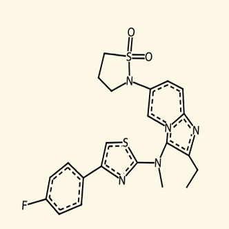 CCc1nc2ccc(N3CCCS3(=O)=O)cn2c1N(C)c1nc(-c2ccc(F)cc2)cs1